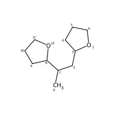 CC(CC1CCCO1)C1CCCO1